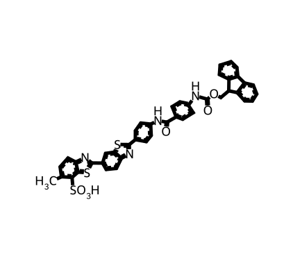 Cc1ccc2nc(-c3ccc4nc(-c5ccc(NC(=O)c6ccc(NC(=O)OCC7c8ccccc8-c8ccccc87)cc6)cc5)sc4c3)sc2c1S(=O)(=O)O